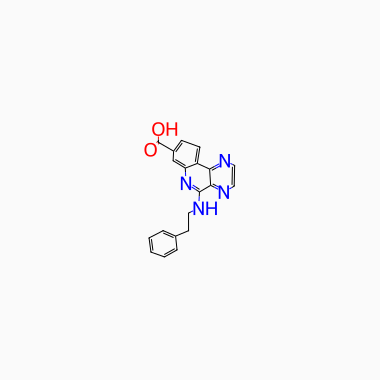 O=C(O)c1ccc2c(c1)nc(NCCc1ccccc1)c1nccnc12